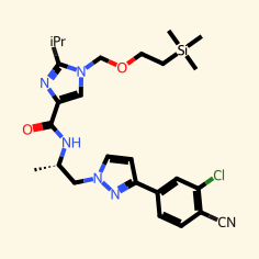 CC(C)c1nc(C(=O)N[C@@H](C)Cn2ccc(-c3ccc(C#N)c(Cl)c3)n2)cn1COCC[Si](C)(C)C